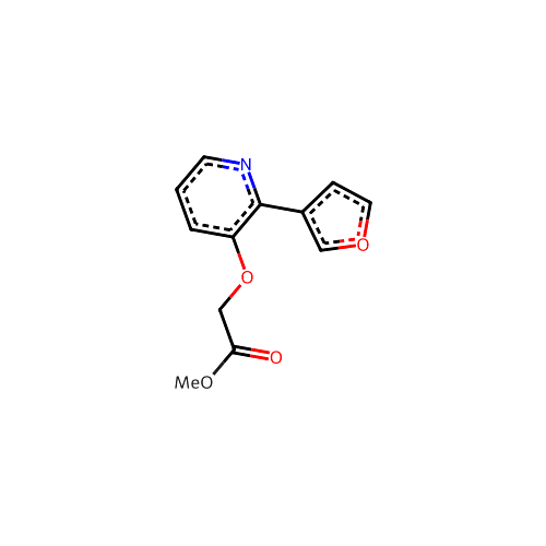 COC(=O)COc1cccnc1-c1ccoc1